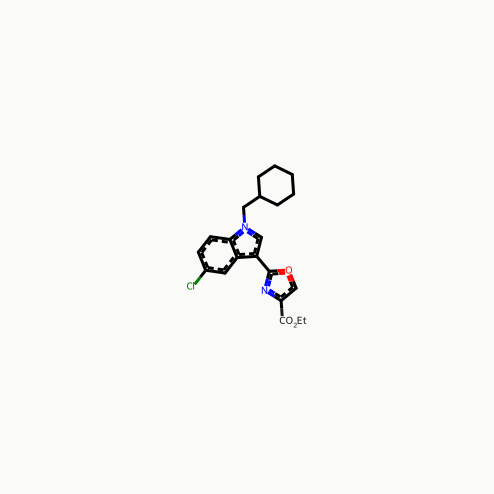 CCOC(=O)c1coc(-c2cn(CC3CCCCC3)c3ccc(Cl)cc23)n1